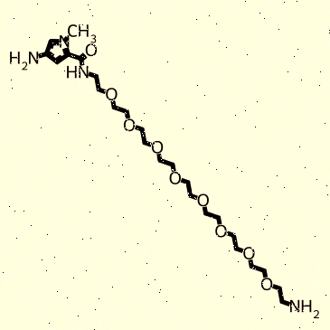 Cn1cc(N)cc1C(=O)NCCOCCOCCOCCOCCOCCOCCOCCOCCN